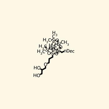 CCCCCCCCCCC[Si](C)(O[Si](C)(C)O[Si](C)(C)C)O[Si](C)(CCCOCC(O)CO)O[Si](C)(C)C